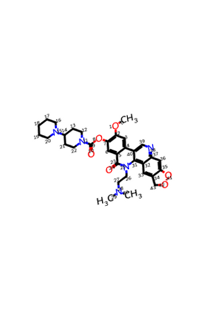 COc1cc2c(cc1OC(=O)N1CCC(N3CCCCC3)CC1)c(=O)n(CCN(C)C)c1c3cc4c(cc3ncc21)OOC4